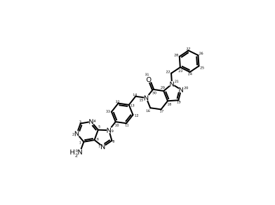 Nc1ncnc2c1ncn2-c1ccc(CN2CCc3cnn(Cc4ccccc4)c3C2=O)cc1